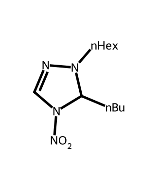 CCCCCCN1N=CN([N+](=O)[O-])C1CCCC